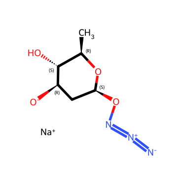 C[C@H]1O[C@@H](ON=[N+]=[N-])C[C@@H]([O-])[C@@H]1O.[Na+]